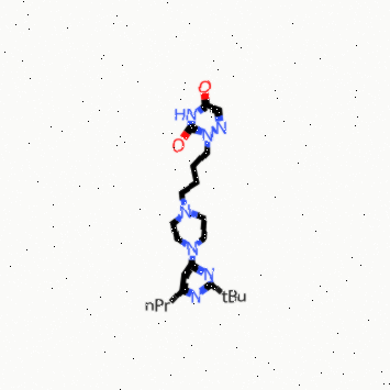 CCCc1cc(N2CCN(CCCCn3ncc(=O)[nH]c3=O)CC2)nc(C(C)(C)C)n1